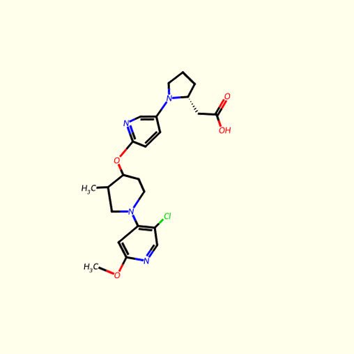 COc1cc(N2CCC(Oc3ccc(N4CCC[C@@H]4CC(=O)O)cn3)C(C)C2)c(Cl)cn1